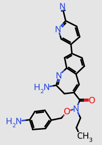 CCCN(OCc1ccc(N)cc1)C(=O)C1=Cc2ccc(-c3ccc(C#N)nc3)cc2N=C(N)C1